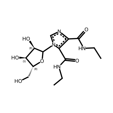 CCNC(=O)c1ncn(C2O[C@H](CO)[C@@H](O)[C@H]2O)c1C(=O)NCC